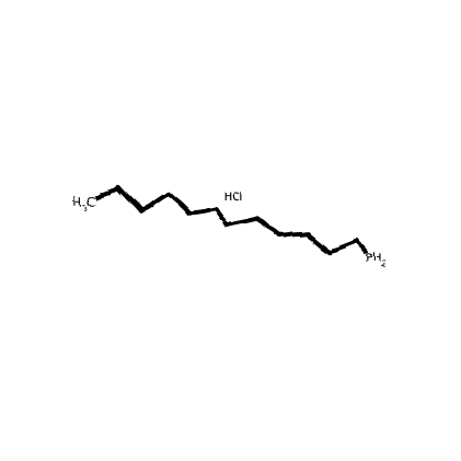 CCCCCCCCCCCCP.Cl